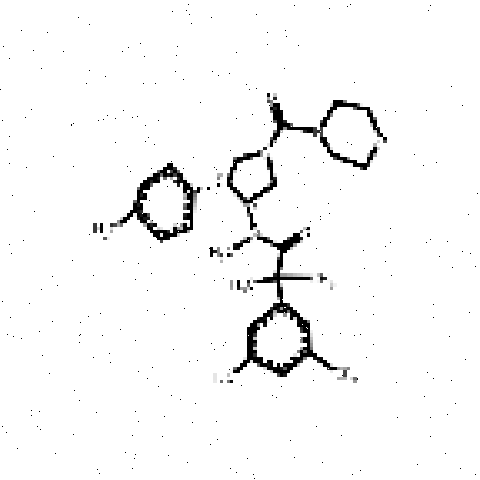 Cc1ccc([C@@H]2CN(C(=O)N3CCOCC3)C[C@H]2N(C)C(=O)C(C)(C)c2cc(C(F)(F)F)cc(C(F)(F)F)c2)cc1